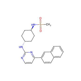 CS(=O)(=O)N[C@H]1CC[C@H](Nc2nccc(-c3ccc4ccccc4c3)n2)CC1